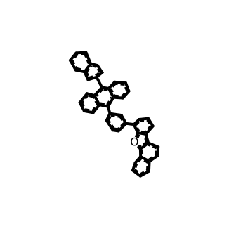 c1cc(-c2c3ccccc3c(-c3ccc4ccccc4c3)c3ccccc23)cc(-c2cccc3c2oc2c4ccccc4ccc32)c1